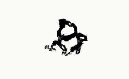 C=CC(=O)N1CCCC1.C=CC(=O)N1CCCCCCCCCC1